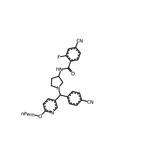 CCCCCOc1ccc(C(c2ccc(C#N)cc2)N2CCC(NC(=O)c3ccc(C#N)cc3F)C2)cn1